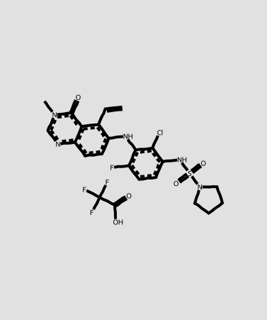 C=Cc1c(Nc2c(F)ccc(NS(=O)(=O)N3CCCC3)c2Cl)ccc2ncn(C)c(=O)c12.O=C(O)C(F)(F)F